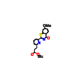 COc1ccc2c(=O)nc(-c3cccc(CCC(=O)OC(C)(C)C)n3)sc2c1